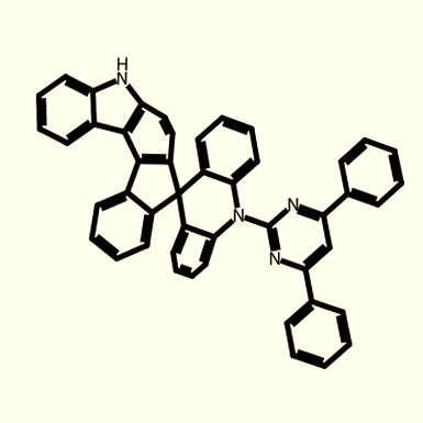 c1ccc(-c2cc(-c3ccccc3)nc(N3c4ccccc4C4(c5ccccc5-c5c4ccc4[nH]c6ccccc6c54)c4ccccc43)n2)cc1